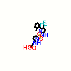 Cc1ccccc1-c1nc(NS(=O)(=O)c2cccc(NCC(=O)O)n2)ccc1C(F)(F)F